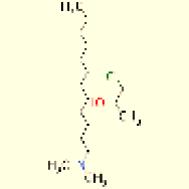 CC(O)CCl.CCCCCCCCCCCCN(C)C